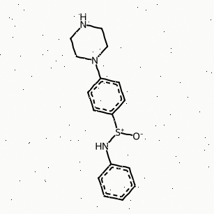 [O-][S+](Nc1ccccc1)c1ccc(N2CCNCC2)cc1